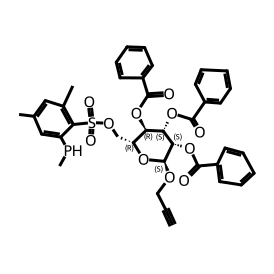 C#CCO[C@H]1O[C@H](COS(=O)(=O)c2c(C)cc(C)cc2PC)[C@@H](OC(=O)c2ccccc2)[C@H](OC(=O)c2ccccc2)[C@@H]1OC(=O)c1ccccc1